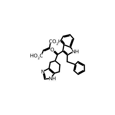 O=C(O)/C=C/C(=O)O.O=C(c1c(Cc2ccccc2)[nH]c2ccccc12)C1CCc2[nH]cnc2C1